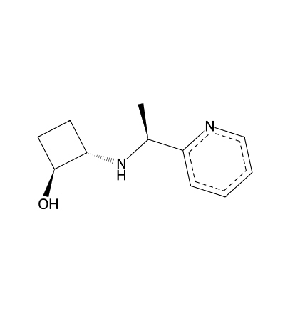 C[C@H](N[C@H]1CC[C@@H]1O)c1ccccn1